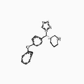 c1ccc(Oc2ccc(C([C@H]3CCCNC3)n3cnnn3)cc2)cc1